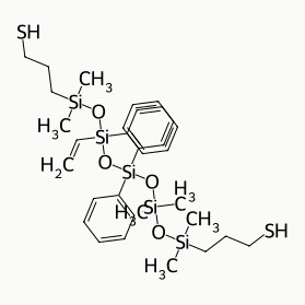 C=C[Si](O[Si](C)(C)CCCS)(O[Si](O[Si](C)(C)O[Si](C)(C)CCCS)(c1ccccc1)c1ccccc1)c1ccccc1